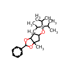 CC(C)[Si](OC1CC2OC(c3ccccc3)OC2(C)C1)(C(C)C)C(C)C